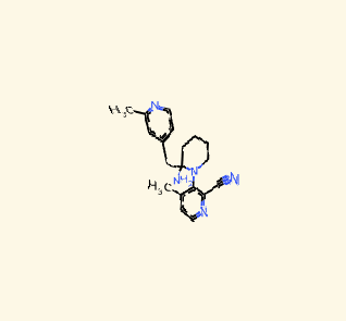 Cc1cc(CC2(N)CCCCN2c2c(C)ccnc2C#N)ccn1